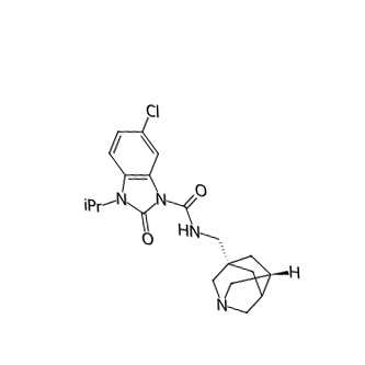 CC(C)n1c(=O)n(C(=O)NC[C@@]23CC4CN(C[C@@H]4C2)C3)c2cc(Cl)ccc21